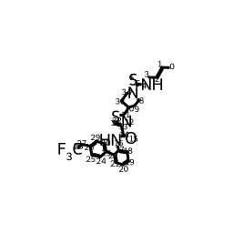 C/C=C/CNC(=S)N1CCC(c2nc(C(=O)Nc3ccccc3-c3ccc(CC(F)(F)F)cc3)cs2)CC1